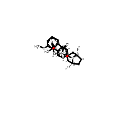 COc1cccc(C(=O)N[C@H]2C[C@H]3CC[C@@H](C2)N3c2ccc(C(=O)O)cn2)c1C